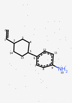 C=CC1CCC(c2ccc(N)cc2)CC1